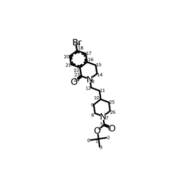 CC(C)(C)OC(=O)N1CCC(CCN2CCc3cc(Br)ccc3C2=O)CC1